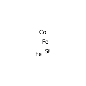 [Co].[Fe].[Fe].[Si]